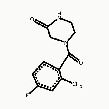 Cc1cc(F)ccc1C(=O)N1CCNC(=O)C1